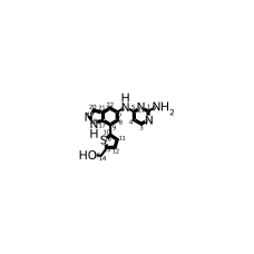 Nc1nccc(Nc2cc(-c3ccc(CO)s3)c3[nH]ncc3c2)n1